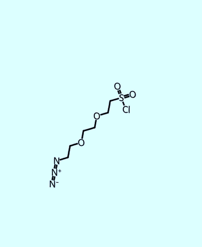 [N-]=[N+]=NCCOCCOCCS(=O)(=O)Cl